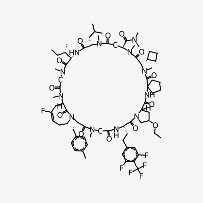 CCO[C@@H]1C[C@H]2C(=O)NC3(CCCC3)C(=O)N(C)[C@@H](C3CCC3)C(=O)N(C)[C@H](C(=O)N(C)C)CC(=O)N(C)[C@@H](CC(C)C)C(=O)N[C@@H]([C@@H](C)CC)C(=O)N(C)CC(=O)N(C)[C@H]3C/C(F)=C\CCN(C3=O)[C@@H](Cc3ccc(C)cc3)C(=O)N(C)CC(=O)N[C@@H](CCc3cc(F)c(C(F)(F)F)c(F)c3)C(=O)N2C1